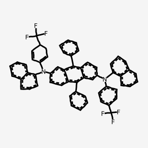 FC(F)(F)c1ccc(N(c2ccc3c(-c4ccccc4)c4cc(N(C5=CCC(C(F)(F)F)C=C5)c5cccc6ccccc56)ccc4c(-c4ccccc4)c3c2)c2cccc3ccccc23)cc1